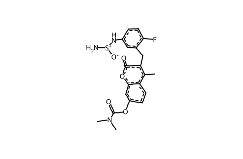 Cc1c(Cc2cc(N[S+](N)[O-])ccc2F)c(=O)oc2cc(OC(=O)N(C)C)ccc12